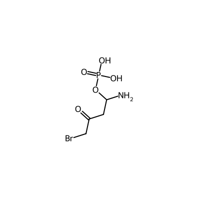 NC(CC(=O)CBr)OP(=O)(O)O